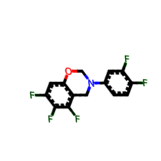 Fc1ccc(N2COc3cc(F)c(F)c(F)c3C2)cc1F